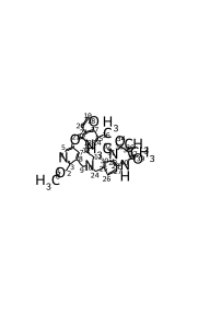 COCc1ncccc1CN(CCn1cc(C)c2occc2c1=O)Cc1ccc2c(c1)N(C)C(=O)C(C)(C)C(=O)N2